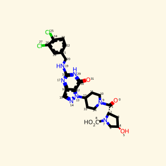 O=C([C@@H]1C[C@@H](O)CN1C(=O)O)N1CCC(n2ncc3nc(NCc4ccc(Cl)c(Cl)c4)[nH]c(=O)c32)CC1